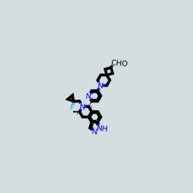 C[C@@H]1Cc2c(ccc3[nH]ncc23)[C@@H](c2ccc(N3CCC4(CC3)CC(C=O)C4)cn2)N1CC1(F)CC1